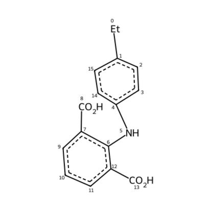 CCc1ccc(Nc2c(C(=O)O)cccc2C(=O)O)cc1